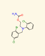 NC(=O)OCCN(Cc1cc(Cl)ccc1Br)c1ccccc1Cl